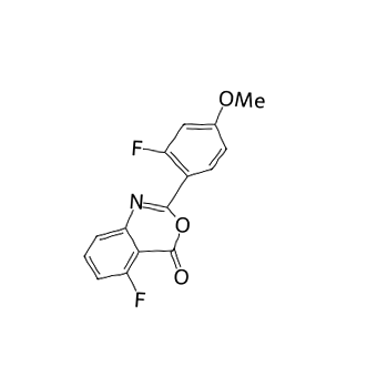 COc1ccc(-c2nc3cccc(F)c3c(=O)o2)c(F)c1